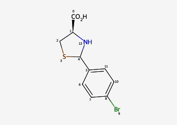 O=C(O)[C@@H]1CSC(c2ccc(Br)cc2)N1